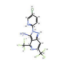 Nc1c2c(C(F)(F)F)nc(C(F)(F)F)cc2nn1-c1ccc(Cl)cn1